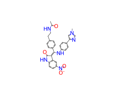 CC(=O)NCCc1ccc(C(Nc2ccc(-c3cn(C)cn3)cc2)=C2C(=O)Nc3ccc([N+](=O)[O-])cc32)cc1